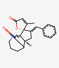 CC1=CC(=O)O[C@@]12/C(=C/c1ccccc1)C[C@@H]1CCCCN3C(=O)CC[C@]132